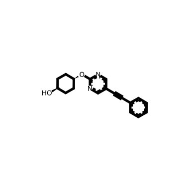 O[C@H]1CC[C@H](Oc2ncc(C#Cc3ccccc3)cn2)CC1